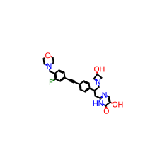 O=c1[nH]c(CC(CN2CC(O)C2)c2ccc(C#Cc3ccc(CN4CCOCC4)c(F)c3)cc2)ncc1O